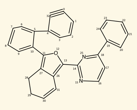 c1cccc(-c2ccccc2-c2oc(-c3nccc(-c4ccccc4)n3)c3c2CCC=C3)c#1